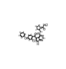 O=C(c1ccc(Oc2ccccc2)cc1Cl)c1c[nH]c2ncnc(NCC3CCCN3C(=O)CCl)c12